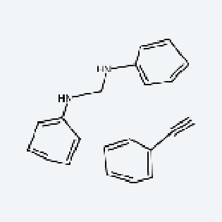 C#Cc1ccccc1.c1ccc(NCNc2ccccc2)cc1